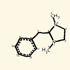 CN1CCN(C)C1Cc1ccccc1